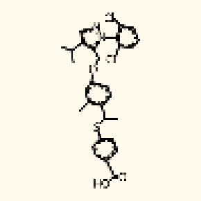 Cc1cc(OCc2c(C(C)C)cnn2-c2c(Cl)cccc2Cl)ccc1C(C)Sc1ccc(C(=O)O)cc1